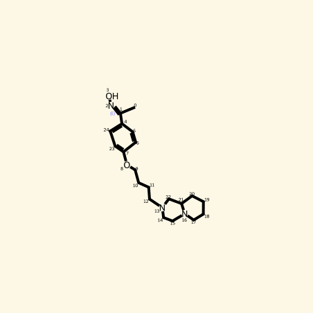 C/C(=N\O)c1ccc(OCCCCN2CCN3CCCCC3C2)cc1